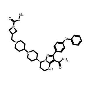 CC(C)(C)OC(=O)N1CC(CN2CCC(N3CCC([C@@H]4CCNc5c(C(N)=O)c(-c6ccc(Oc7ccccc7)cc6)nn54)CC3)CC2)C1